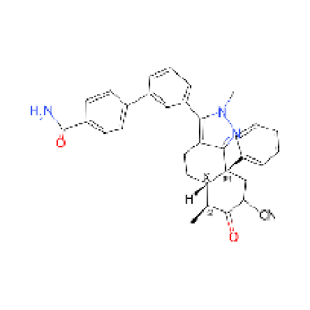 C[C@@H]1C(=O)C(C#N)C[C@@]2(c3ccccc3)c3nn(C)c(-c4cccc(-c5ccc(C(N)=O)cc5)c4)c3CC[C@@H]12